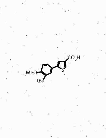 COc1ccc(-c2cc(C(=O)O)cs2)cc1C(C)(C)C